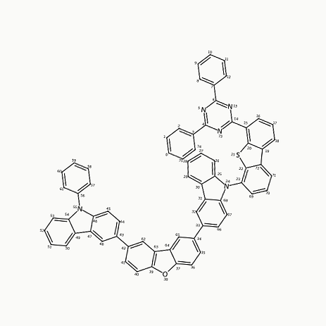 c1ccc(-c2nc(-c3ccccc3)nc(-c3cccc4c3sc3c(-n5c6ccccc6c6cc(-c7ccc8oc9ccc(-c%10ccc%11c(c%10)c%10ccccc%10n%11-c%10ccccc%10)cc9c8c7)ccc65)cccc34)n2)cc1